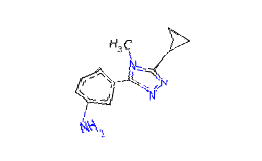 Cn1c(-c2cccc(N)c2)nnc1C1CC1